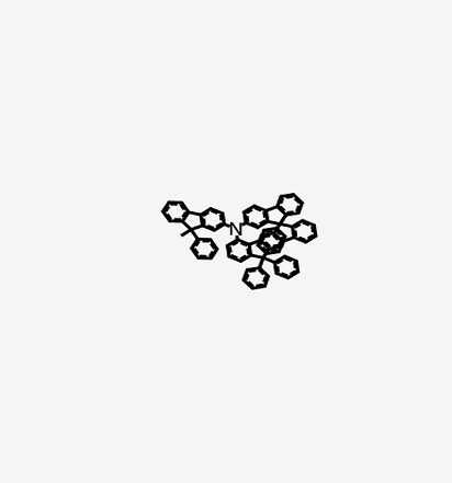 CC1(c2ccccc2)c2ccccc2-c2ccc(N(c3ccc4c(c3)C3(c5ccccc5-c5ccccc53)c3ccccc3-4)c3cccc4c3-c3ccccc3C4(c3ccccc3)c3ccccc3)cc21